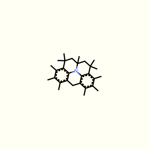 Cc1c(C)c2c3c(c1C)C(C)(C)CC1(C)CC(C)(C)c4c(C)c(C)c(C)c(c4N31)C2